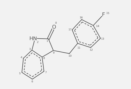 O=C1Nc2ccccc2C1Cc1ccc(F)cc1